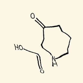 O=C1CCCNC1.O=CO